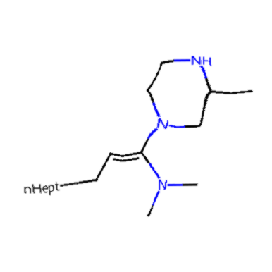 CCCCCCCCC=C(N(C)C)N1CCNC(C)C1